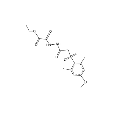 CCOC(=O)C(=O)NNC(=O)CS(=O)(=O)c1c(C)cc(OC)cc1C